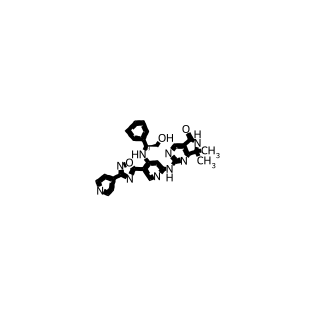 CC1(C)NC(=O)c2cnc(Nc3cc(N[C@H](CO)c4ccccc4)c(-c4nc(-c5ccncc5)no4)cn3)nc21